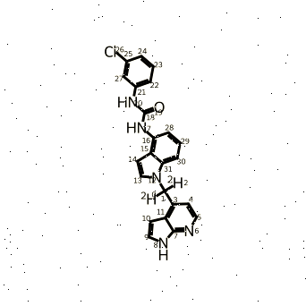 [2H]C([2H])(c1ccnc2[nH]ccc12)n1ccc2c(NC(=O)Nc3cccc(Cl)c3)cccc21